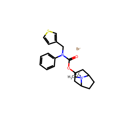 C[N+]1(C)C2CCC1CC(OC(=O)N(Cc1ccsc1)c1ccccc1)C2.[Br-]